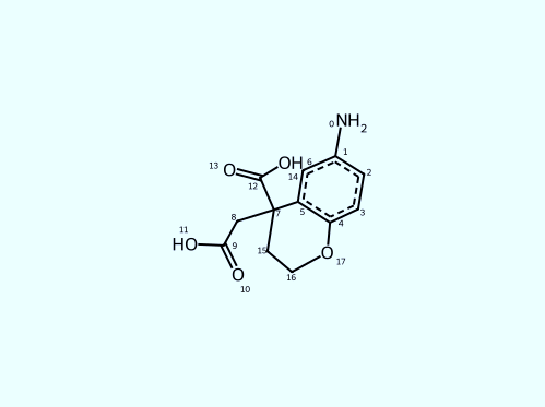 Nc1ccc2c(c1)C(CC(=O)O)(C(=O)O)CCO2